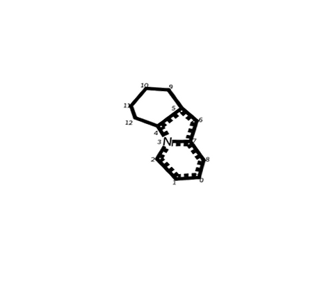 c1ccn2c3c(cc2c1)CCCC3